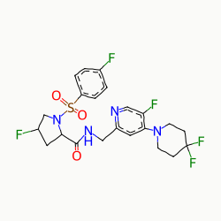 O=C(NCc1cc(N2CCC(F)(F)CC2)c(F)cn1)C1CC(F)CN1S(=O)(=O)c1ccc(F)cc1